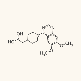 COc1cc2ncnc(N3CCC(CP(O)O)CC3)c2cc1OC